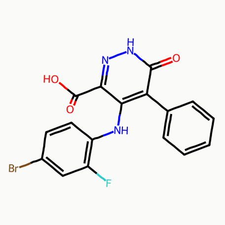 O=C(O)c1n[nH]c(=O)c(-c2ccccc2)c1Nc1ccc(Br)cc1F